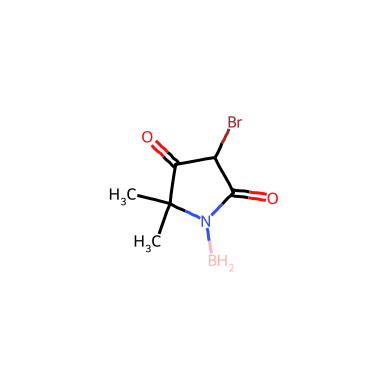 BN1C(=O)C(Br)C(=O)C1(C)C